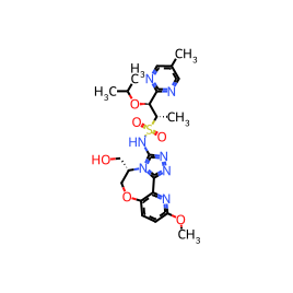 COc1ccc2c(n1)-c1nnc(NS(=O)(=O)[C@@H](C)[C@@H](OC(C)C)c3ncc(C)cn3)n1[C@@H](CO)CO2